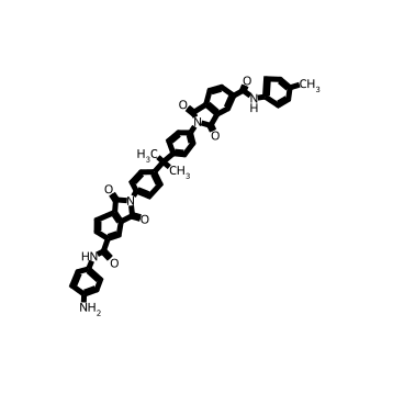 Cc1ccc(NC(=O)c2ccc3c(c2)C(=O)N(c2ccc(C(C)(C)c4ccc(N5C(=O)c6ccc(C(=O)Nc7ccc(N)cc7)cc6C5=O)cc4)cc2)C3=O)cc1